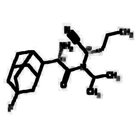 CCC[C@@H](C#N)N(C(=O)[C@@H](N)C1C2CC3CC1CC(F)(C3)C2)C(C)C